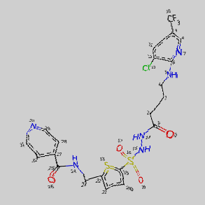 O=C(CCCNc1ncc(C(F)(F)F)cc1Cl)NNS(=O)(=O)c1ccc(CNC(=O)c2ccncc2)s1